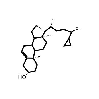 CC(C)C(CC[C@@H](C)[C@H]1CCC2C3CC=C4C[C@@H](O)CC[C@]4(C)C3CC[C@@]21C)C1CC1